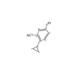 CC(C)c1ccc(C2CC2)c(C#N)c1